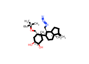 C=C1CCC2[C@H](CN=[N+]=[N-])C([C@@]3(C)C[C@@H](O)[C@@H](O)C[C@@H]3CO[Si](C)(C)C(C)(C)C)CC[C@]12C